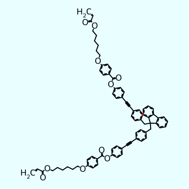 C=CC(=O)OCCCCCCOc1ccc(C(=O)Oc2ccc(C#Cc3ccc(CC4(Cc5ccc(C#Cc6ccc(OC(=O)c7ccc(OCCCCCCOC(=O)C=C)cc7)cc6)cc5)c5ccccc5-c5ccccc54)cc3)cc2)cc1